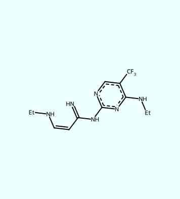 CCN/C=C\C(=N)Nc1ncc(C(F)(F)F)c(NCC)n1